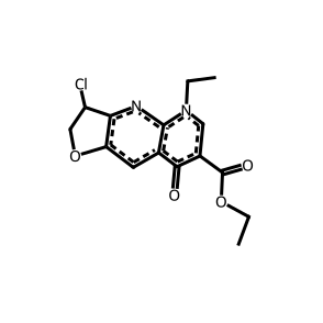 CCOC(=O)c1cn(CC)c2nc3c(cc2c1=O)OCC3Cl